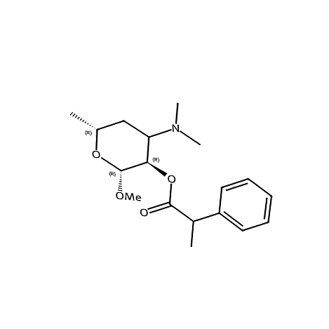 CO[C@@H]1O[C@H](C)CC(N(C)C)[C@H]1OC(=O)C(C)c1ccccc1